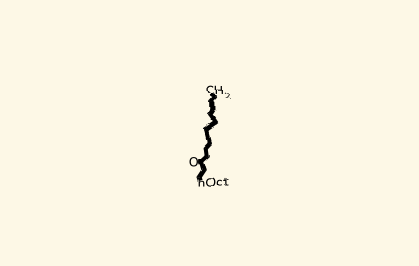 C=CC=CCCCCCCC(=O)CCCCCCCCCC